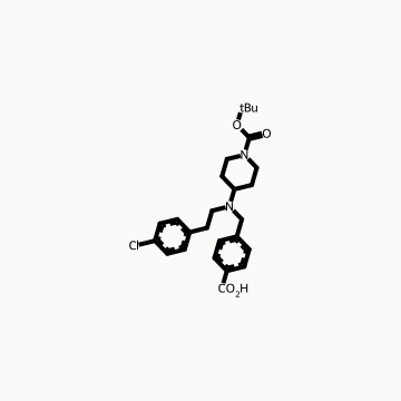 CC(C)(C)OC(=O)N1CCC(N(CCc2ccc(Cl)cc2)Cc2ccc(C(=O)O)cc2)CC1